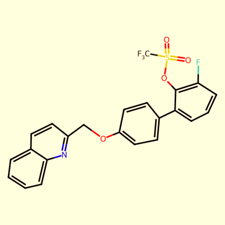 O=S(=O)(Oc1c(F)cccc1-c1ccc(OCc2ccc3ccccc3n2)cc1)C(F)(F)F